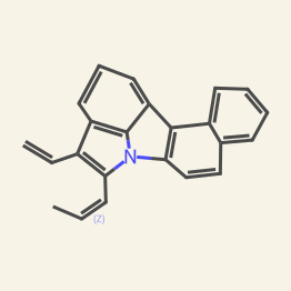 C=Cc1c(/C=C\C)n2c3ccc4ccccc4c3c3cccc1c32